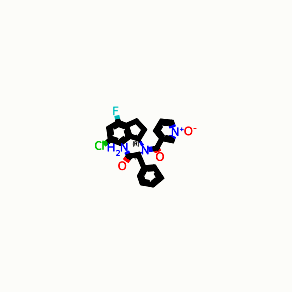 NC(=O)[C@@H](c1ccccc1)N(C(=O)c1ccc[n+]([O-])c1)[C@@H]1CCc2c(F)cc(Cl)cc21